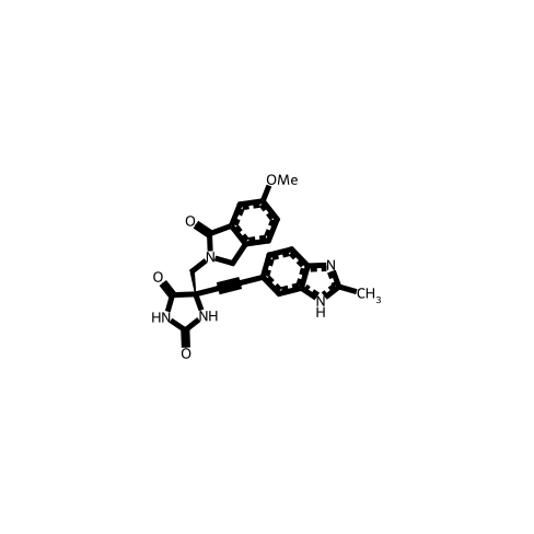 COc1ccc2c(c1)C(=O)N(C[C@@]1(C#Cc3ccc4nc(C)[nH]c4c3)NC(=O)NC1=O)C2